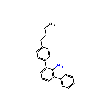 CCCCc1ccc(-c2cccc(-c3ccccc3)c2N)cc1